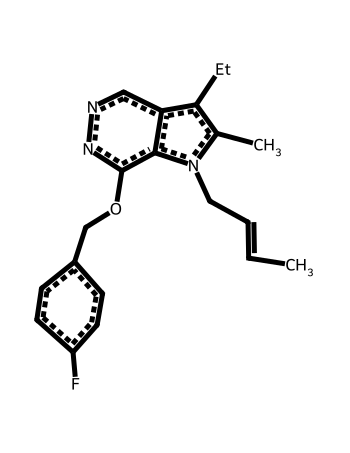 C/C=C/Cn1c(C)c(CC)c2cnnc(OCc3ccc(F)cc3)c21